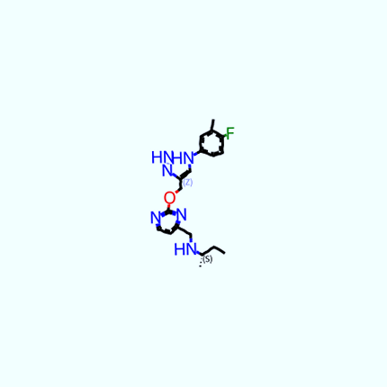 CC[C@H](C)NCc1ccnc(OC/C(=C/Nc2ccc(F)c(C)c2)N=N)n1